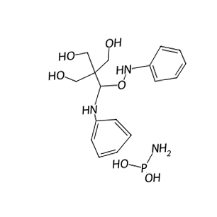 NP(O)O.OCC(CO)(CO)C(Nc1ccccc1)ONc1ccccc1